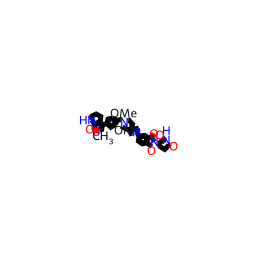 COc1cc(-c2cn(C)c(=O)c3c2CCCN3)cc(OC)c1CN1CCC2(CC1)CN(c1ccc3c(c1)C(=O)N(C1CCC(=O)NC1=O)C3=O)C2